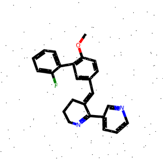 COc1ccc(C=C2CCCN=C2c2cccnc2)cc1-c1ccccc1F